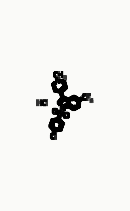 CN1CC=C(c2cn(S(=O)(=O)c3ccc(Cl)cc3)c3ccc(C(F)(F)F)cc23)CC1.Cl